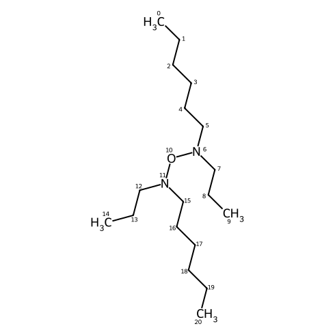 CCCCCCN(CCC)ON(CCC)CCCCCC